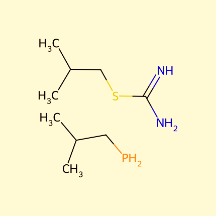 CC(C)CP.CC(C)CSC(=N)N